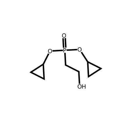 O=P(CCO)(OC1CC1)OC1CC1